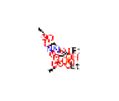 C#CCOC(=O)Oc1ccn([C@@H]2O[C@H](COCC)C(OP(=O)(O)OCC)C2OC(=O)OCC#C)c(=O)n1